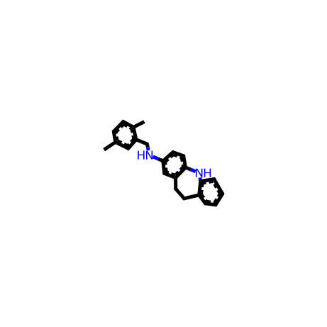 Cc1ccc(C)c(CNc2ccc3c(c2)CCc2ccccc2N3)c1